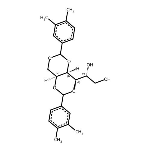 Cc1ccc(C2OC[C@@H]3OC(c4ccc(C)c(C)c4)O[C@H]([C@H](O)CO)[C@@H]3O2)cc1C